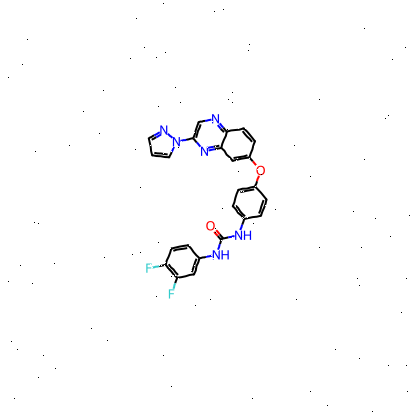 O=C(Nc1ccc(Oc2ccc3ncc(-n4cccn4)nc3c2)cc1)Nc1ccc(F)c(F)c1